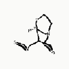 O=C1C(N=S)[C@H]2SCCN12